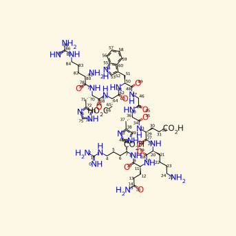 N=C(N)NCCC[C@H](NC(=O)[C@H](CCC(N)=O)NC(=O)[C@H](CCCCN)NC(=O)[C@H](CCC(=O)O)NC(=O)[C@H](Cc1c[nH]cn1)NC(=O)CNC(=O)[C@H](Cc1c[nH]c2ccccc12)NC(=O)[C@H](CC(=O)O)NC(=O)[C@H](Cc1c[nH]cn1)NC(=O)[C@@H](N)CCCNC(=N)N)C(=O)O